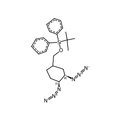 CC(C)(C)[Si](OCC1CC[C@H](N=[N+]=[N-])[C@H](N=[N+]=[N-])C1)(c1ccccc1)c1ccccc1